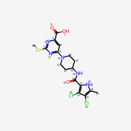 CSc1nc(C(=O)O)cc(N2CCC(NC(=O)c3[nH]c(C)c(Cl)c3Cl)CC2)n1